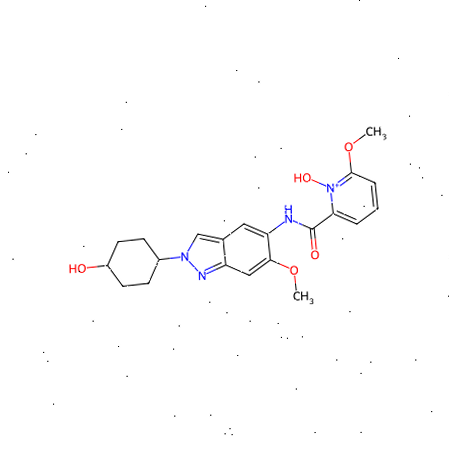 COc1cc2nn(C3CCC(O)CC3)cc2cc1NC(=O)c1cccc(OC)[n+]1O